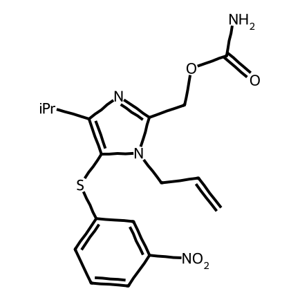 C=CCn1c(COC(N)=O)nc(C(C)C)c1Sc1cccc([N+](=O)[O-])c1